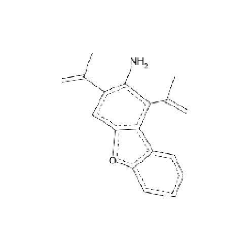 C=C(C)c1cc2oc3ccccc3c2c(C(=C)C)c1N